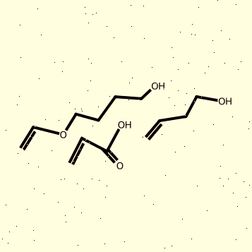 C=CC(=O)O.C=COCCCCO.[CH]=CCCO